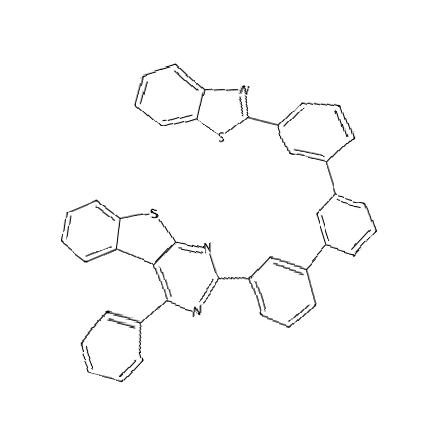 c1ccc(-c2nc(-c3cccc(-c4cccc(-c5cccc(-c6nc7ccccc7s6)c5)c4)c3)nc3sc4ccccc4c23)cc1